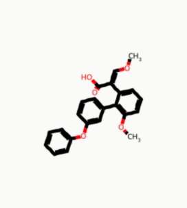 CO/C=C(/C(=O)O)c1cccc(OC)c1-c1cccc(Oc2ccccc2)c1